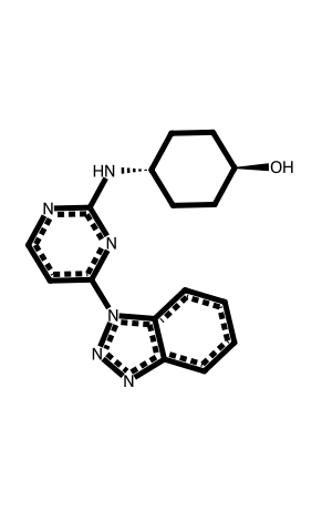 O[C@H]1CC[C@H](Nc2nccc(-n3nnc4ccccc43)n2)CC1